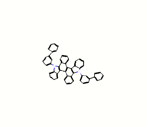 c1ccc(-c2cccc(-n3c4ccccc4c4c5c6ccccc6c6c(c7ccccc7n6-c6cccc(-c7ccccc7)c6)c5c5ccccc5c43)c2)cc1